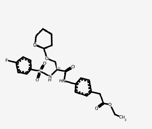 CCOC(=O)Cc1ccc(NC(=O)[C@H](COC2CCCCO2)NS(=O)(=O)c2ccc(F)cc2)cc1